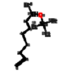 C=CCCCCC[SiH](CC)O[Si](CC)(CC)CC